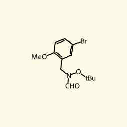 COc1ccc(Br)cc1CN(C=O)OC(C)(C)C